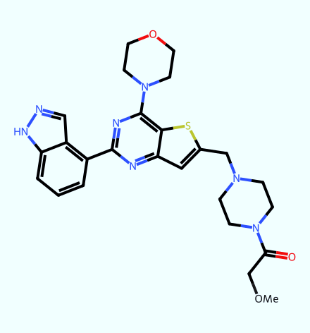 COCC(=O)N1CCN(Cc2cc3nc(-c4cccc5[nH]ncc45)nc(N4CCOCC4)c3s2)CC1